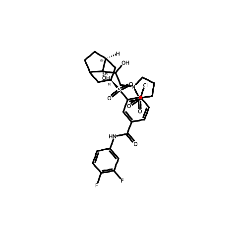 O=C(Nc1ccc(F)c(F)c1)c1ccc(Cl)c(S(=O)(=O)[C@H]2CC3CC[C@@H](C2)[C@@]3(O)C(O)CN2CCCS2(=O)=O)c1